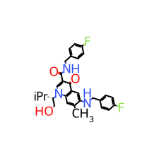 Cc1cc2c(cc1NCc1ccc(F)cc1)c(=O)c(C(=O)NCc1ccc(F)cc1)cn2[C@H](CO)C(C)C